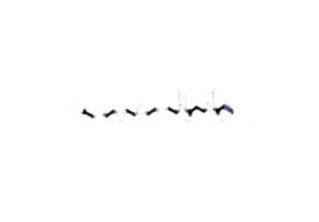 C#CCOCCOCCOCCOCCNC(=O)CCNC(=O)/C=C\C=O